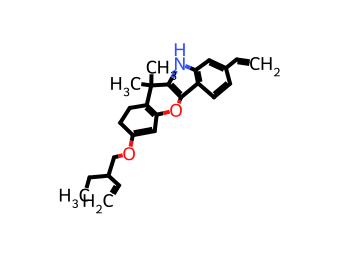 C=Cc1ccc2c3c([nH]c2c1)C(C)(C)C1=C(C=C(OCC(C=C)CC)CC1)O3